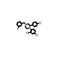 Fc1cccc(CN2CCN(c3ccc(Cl)cc3Cl)C(c3ccc(Cl)cc3)C2)c1